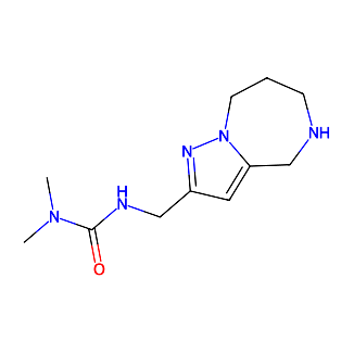 CN(C)C(=O)NCc1cc2n(n1)CCCNC2